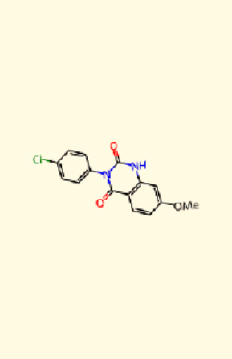 COc1ccc2c(=O)n(-c3ccc(Cl)cc3)c(=O)[nH]c2c1